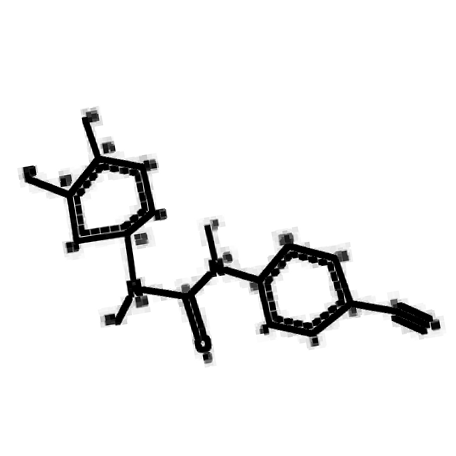 C#Cc1ccc(N(C)C(=O)N(C)c2ccc(C)c(C)c2)cc1